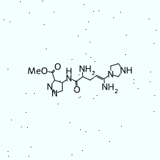 COC(=O)C1N=NCC1NC(=O)C(N)C/C=C(\N)N1CCNC1